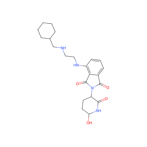 O=C1NC(O)CCC1N1C(=O)c2cccc(NCCNCC3CCCCC3)c2C1=O